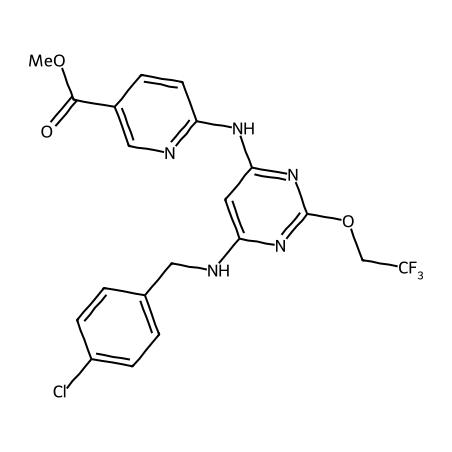 COC(=O)c1ccc(Nc2cc(NCc3ccc(Cl)cc3)nc(OCC(F)(F)F)n2)nc1